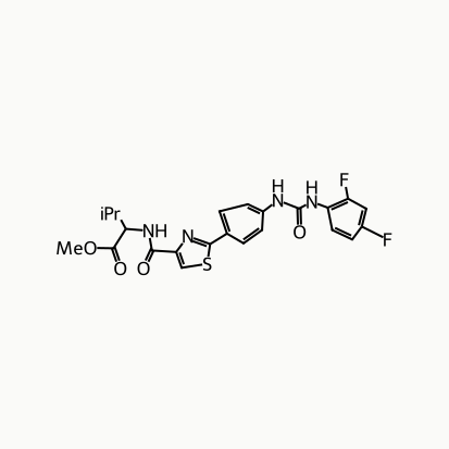 COC(=O)C(NC(=O)c1csc(-c2ccc(NC(=O)Nc3ccc(F)cc3F)cc2)n1)C(C)C